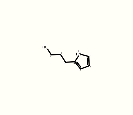 [CH]CCCc1ccc[nH]1